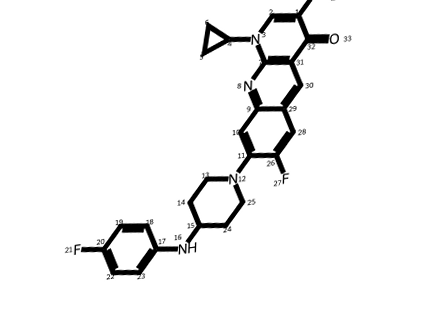 O=C(O)c1cn(C2CC2)c2nc3cc(N4CCC(Nc5ccc(F)cc5)CC4)c(F)cc3cc2c1=O